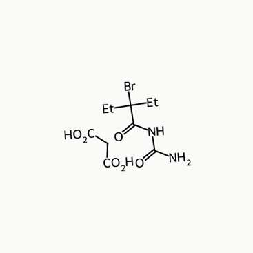 CCC(Br)(CC)C(=O)NC(N)=O.O=C(O)CC(=O)O